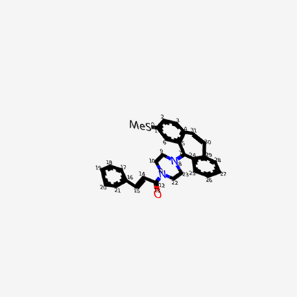 CSc1ccc2c(c1)C(N1CCN(C(=O)C=Cc3ccccc3)CC1)c1ccccc1C=C2